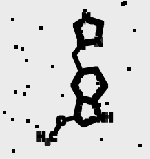 COc1c[nH]c2ccc(Cn3cncn3)cc12